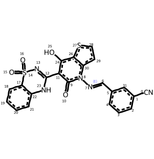 N#Cc1cccc(/C=N/n2c(=O)c(C3=NS(=O)(=O)c4ccccc4N3)c(O)c3sccc32)c1